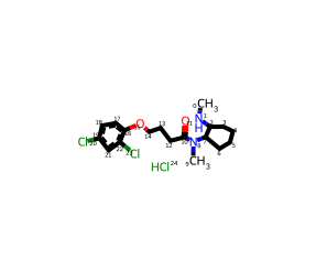 CNC1CCCCC1N(C)C(=O)CCCOc1ccc(Cl)cc1Cl.Cl